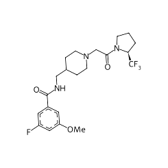 COc1cc(F)cc(C(=O)NCC2CCN(CC(=O)N3CCC[C@H]3C(F)(F)F)CC2)c1